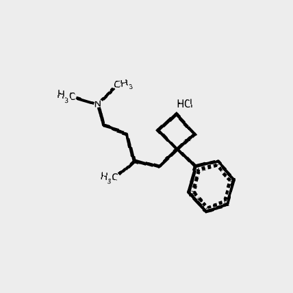 CC(CCN(C)C)CC1(c2ccccc2)CCC1.Cl